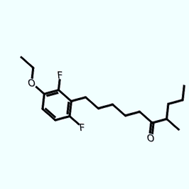 CCCC(C)C(=O)CCCCCc1c(F)ccc(OCC)c1F